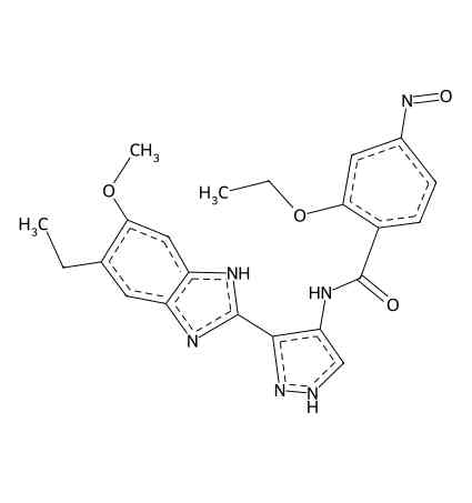 CCOc1cc(N=O)ccc1C(=O)Nc1c[nH]nc1-c1nc2cc(CC)c(OC)cc2[nH]1